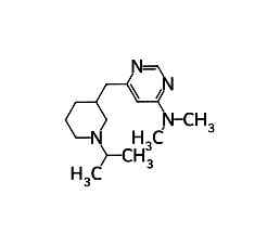 CC(C)N1CCCC(Cc2cc(N(C)C)ncn2)C1